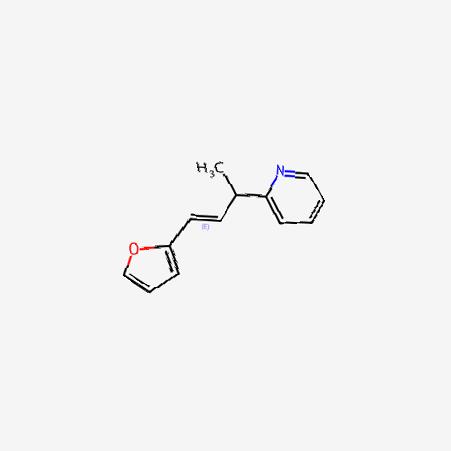 CC(/C=C/c1ccco1)c1ccccn1